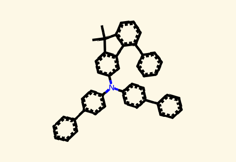 CC1(C)c2ccc(N(c3ccc(-c4ccccc4)cc3)c3ccc(-c4ccccc4)cc3)cc2-c2c(-c3ccccc3)cccc21